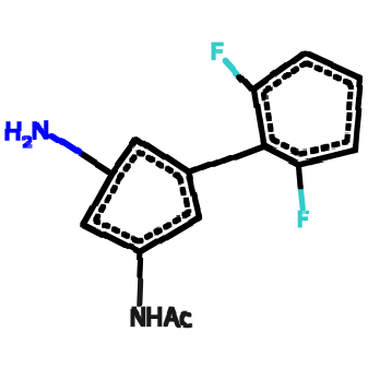 CC(=O)Nc1cc(N)cc(-c2c(F)cccc2F)c1